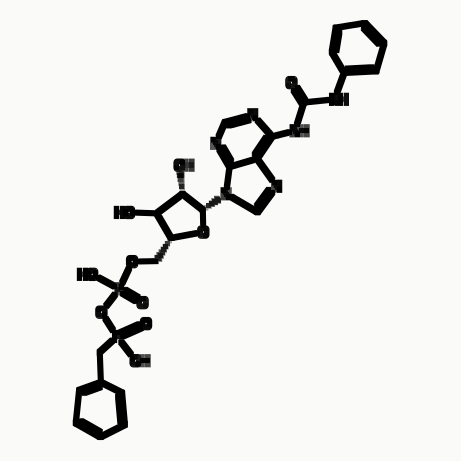 O=C(Nc1ccccc1)Nc1ncnc2c1ncn2[C@@H]1O[C@H](COP(=O)(O)OP(=O)(O)Cc2ccccc2)C(O)[C@@H]1O